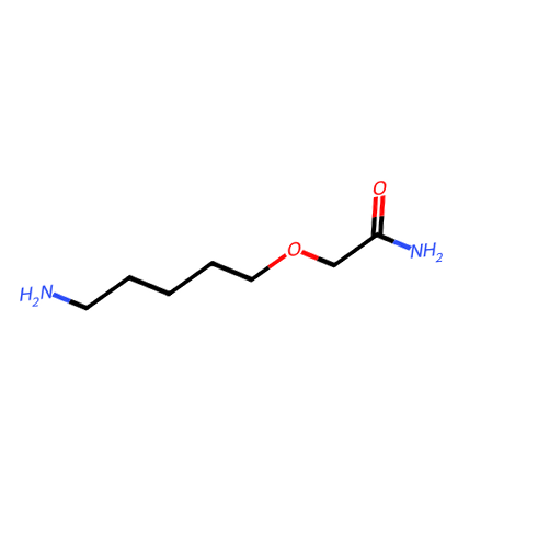 NCCCCCOCC(N)=O